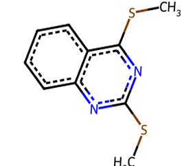 CSc1nc(SC)c2ccccc2n1